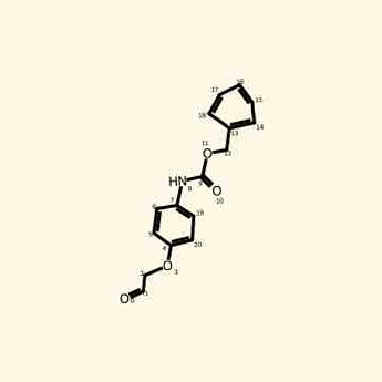 O=[C]COc1ccc(NC(=O)OCc2ccccc2)cc1